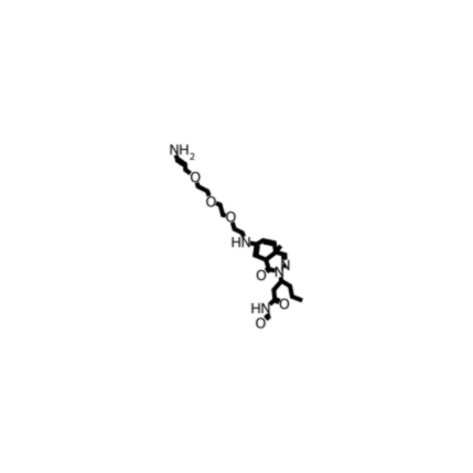 CCCC(CC(=O)NC=O)N1N=CC2(C)C=CC(NCCOCCOCCOC/C=C/N)=CC2C1=O